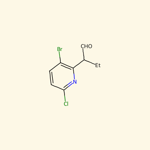 CCC(C=O)c1nc(Cl)ccc1Br